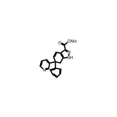 COC(=O)c1n[nH]c2c1C=CC(c1ccccc1)(c1cccnc1)C2